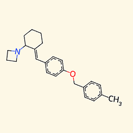 Cc1ccc(COc2ccc(C=C3CCCCC3N3CCC3)cc2)cc1